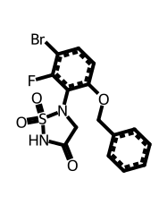 O=C1CN(c2c(OCc3ccccc3)ccc(Br)c2F)S(=O)(=O)N1